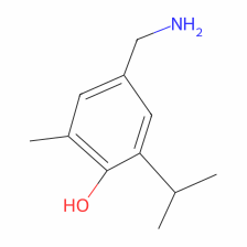 Cc1cc(CN)cc(C(C)C)c1O